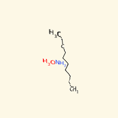 CCCCCCCCCC.N.O